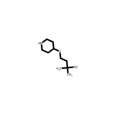 CC(C)(CCOC1CCNCC1)N=O